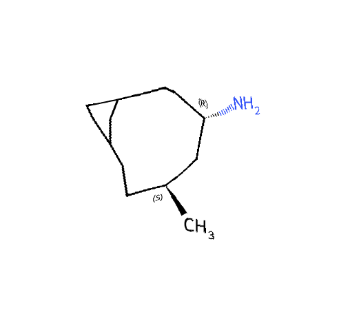 C[C@H]1CC2CC2C[C@H](N)C1